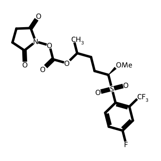 CO[C@H](CCC(C)OC(=O)ON1C(=O)CCC1=O)S(=O)(=O)c1ccc(F)cc1C(F)(F)F